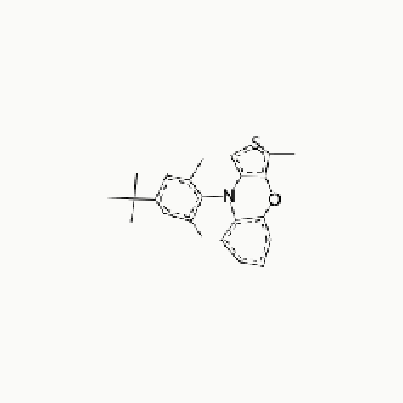 Cc1cc(C(C)(C)C)cc(C)c1N1c2ccccc2Oc2c1csc2C